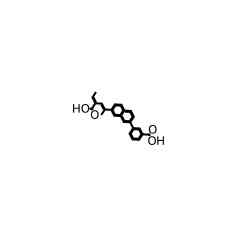 C/C=C(\C=C(/C)c1ccc2ccc(-c3cccc(C(=O)O)c3)cc2c1)C(=O)O